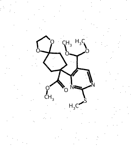 COC(=O)C1(c2nc(SC)ncc2C(OC)OC)CCC2(CC1)OCCO2